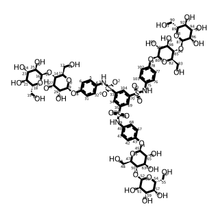 O=S(=O)(Nc1ccc(O[C@@H]2O[C@H](CO)[C@@H](O[C@H]3O[C@H](CO)[C@@H](O)[C@H](O)[C@H]3O)[C@H](O)[C@H]2O)cc1)c1cc(S(=O)(=O)Nc2ccc(O[C@@H]3O[C@H](CO)[C@@H](O[C@H]4O[C@H](CO)[C@@H](O)[C@H](O)[C@H]4O)[C@H](O)[C@H]3O)cc2)cc(S(=O)(=O)Nc2ccc(O[C@@H]3O[C@H](CO)[C@@H](O[C@H]4O[C@H](CO)[C@@H](O)[C@H](O)[C@H]4O)[C@H](O)[C@H]3O)cc2)c1